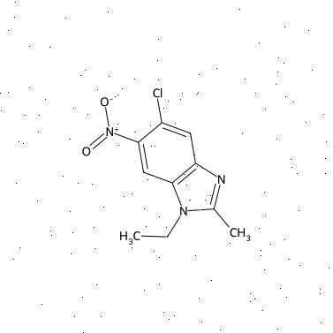 CCn1c(C)nc2cc(Cl)c([N+](=O)[O-])cc21